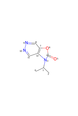 CC(C)n1c(=O)oc2cnncc21